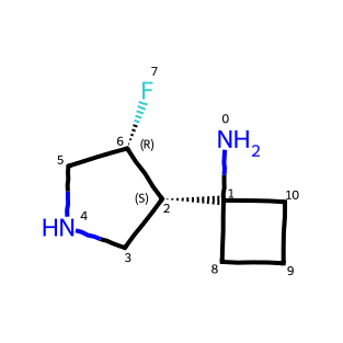 NC1([C@@H]2CNC[C@@H]2F)CCC1